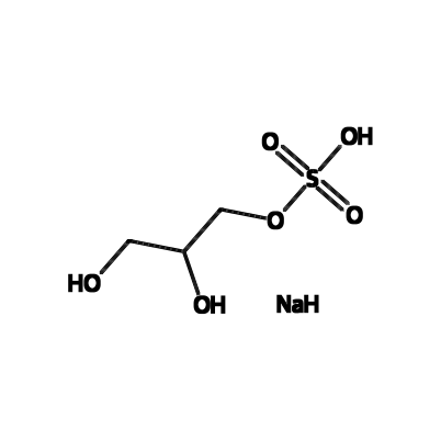 O=S(=O)(O)OCC(O)CO.[NaH]